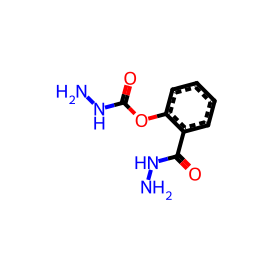 NNC(=O)Oc1ccccc1C(=O)NN